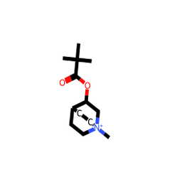 CC(C)(C)C(=O)OC1C[N+]2(C)CCC1CC2